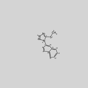 CSc1nnnn1-c1ccc2ccccc2c1